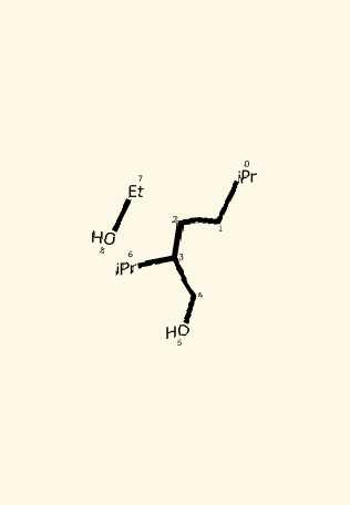 CC(C)CCC(CO)C(C)C.CCO